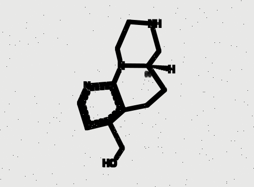 OCc1ccnc2c1CC[C@@H]1CNCCN21